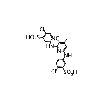 Cc1cc(Nc2ccc(Cl)c(S(=O)(=O)O)c2)nc(Nc2ccc(Cl)c(S(=O)(=O)O)c2)c1C#N